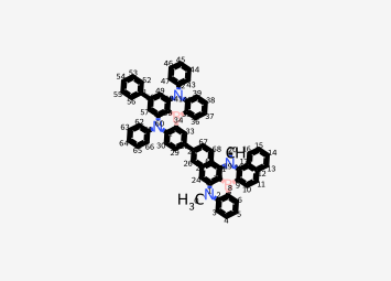 CN1c2ccccc2B2c3ccc4ccccc4c3N(C)c3c2c1cc1cc(-c2ccc4c(c2)B2c5ccccc5N(c5ccccc5)c5cc(-c6ccccc6)cc(c52)N4c2ccccc2)ccc31